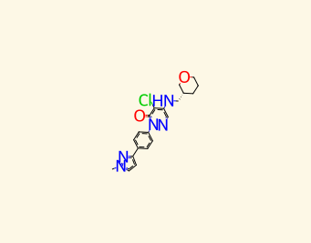 Cn1ccc(-c2ccc(-n3ncc(NC[C@H]4CCCOC4)c(Cl)c3=O)cc2)n1